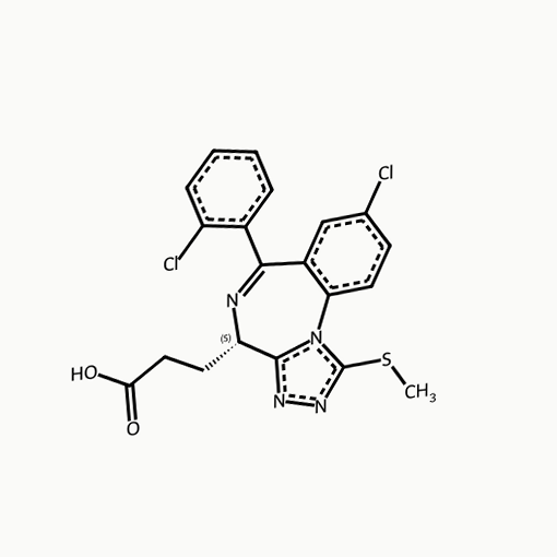 CSc1nnc2n1-c1ccc(Cl)cc1C(c1ccccc1Cl)=N[C@H]2CCC(=O)O